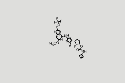 COc1cc2nc(COC(F)(F)F)cn2c(Nc2cc([C@@H]3CC[C@H](OC(=O)NC45CC(C4)C5)[C@@H]3F)[nH]n2)n1